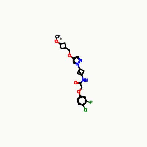 O=C(COc1ccc(Cl)c(F)c1)NC12CC(n3cc(OCC4CC(OC(F)(F)F)C4)cn3)(C1)C2